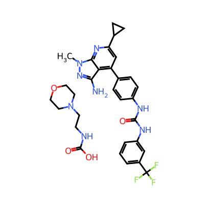 Cn1nc(N)c2c(-c3ccc(NC(=O)Nc4cccc(C(F)(F)F)c4)cc3)cc(C3CC3)nc21.O=C(O)NCCN1CCOCC1